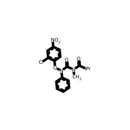 CC(C)C(=O)N(C)C(=O)N(Oc1ccc([N+](=O)[O-])cc1Cl)c1ccccc1